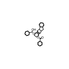 O=C(OC1C(OC(O)c2ccccc2)C2C3c4ccccc4CC3C1C21CCCC1)c1ccccc1